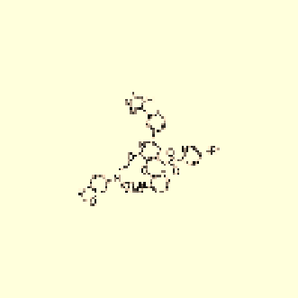 COc1ccccc1Oc1c(NS(=O)(=O)c2ccc(C(C)C)cn2)nc(-c2ccnc(-c3nnn[nH]3)c2)nc1OCCN(C(=O)O)c1ccc2c(c1)OCO2